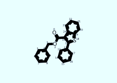 O=C(OCc1ccccc1)c1c(-c2ccccc2)sc2ccccc12